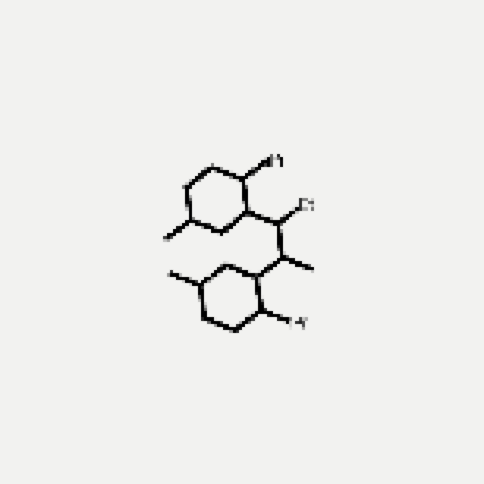 [CH2]C(C1CC(C)CCC1C(C)C)C(CC)C1CC(C)CCC1C(C)C